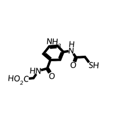 N.O=C(O)CNC(=O)c1cccc(NC(=O)CS)c1